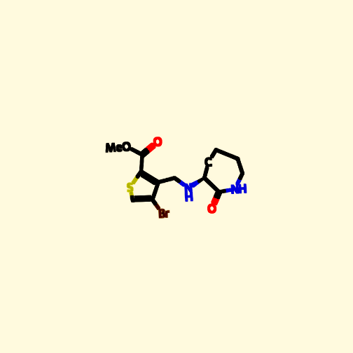 COC(=O)c1scc(Br)c1CN[C@H]1CCCCNC1=O